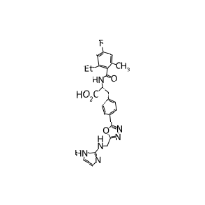 CCc1cc(F)cc(C)c1C(=O)NC(Cc1ccc(-c2nnc(CNc3ncc[nH]3)o2)cc1)C(=O)O